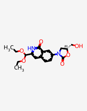 CCOC(OCC)c1cc2ccc(N3C[C@H](CO)OC3=O)cc2c(=O)[nH]1